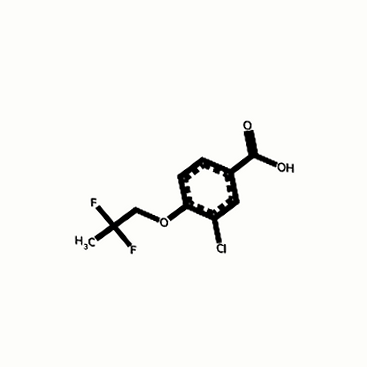 CC(F)(F)COc1ccc(C(=O)O)cc1Cl